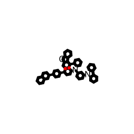 c1cc(N(c2ccc(-c3ccc(-c4ccc5ccccc5c4)cc3)cc2)c2ccccc2-c2cccc3oc4ccccc4c23)cc(-n2c3ccccc3c3ccccc32)c1